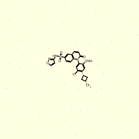 COc1cc([C@H]2C[C@@H](C(F)(F)F)C2)c(Cl)cc1-n1c(=O)ccc2cc(S(=O)(=O)Nc3ccon3)ccc21